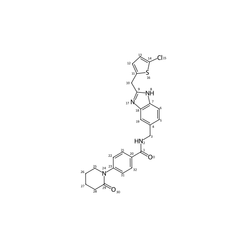 O=C(NCc1ccc2[nH]c(Cc3ccc(Cl)s3)nc2c1)c1ccc(N2CCCCC2=O)cc1